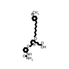 COc1ccc(CCCCCCCCOc2ccc(COc3cccc(NC(N)=O)c3)nc2C=CC(=O)O)cc1